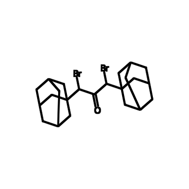 O=C(C(Br)C12CC3CC(CC(C3)C1)C2)C(Br)C12CC3CC(CC(C3)C1)C2